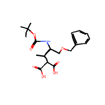 CC(C(COCc1ccccc1)NC(=O)OC(C)(C)C)C(C(=O)O)C(=O)O